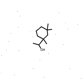 CC(O)C1(C)CCCC(C)(C)C1